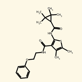 Cc1sc(NC(=O)C2C(C)(C)C2(C)C)c(C(=O)NCCOc2ccccc2)c1C